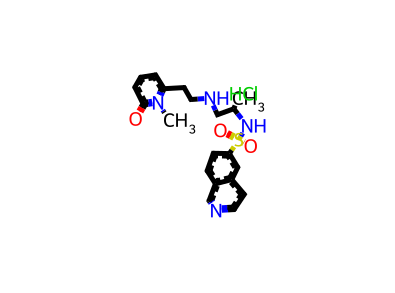 CC(CNCCc1cccc(=O)n1C)NS(=O)(=O)c1ccc2cnccc2c1.Cl